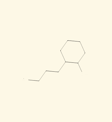 CC(=O)CCCC1CCCCC1C